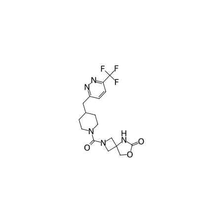 O=C1NC2(CO1)CN(C(=O)N1CCC(Cc3ccc(C(F)(F)F)nn3)CC1)C2